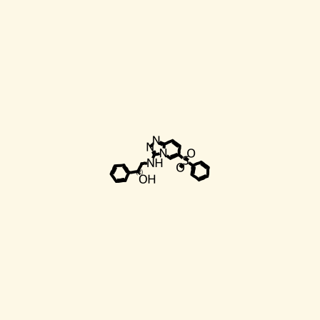 O=S(=O)(c1ccccc1)c1ccc2nnc(NC[C@H](O)c3ccccc3)n2c1